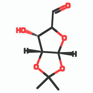 CC1(C)O[C@H]2OC(C=O)[C@@H](O)[C@H]2O1